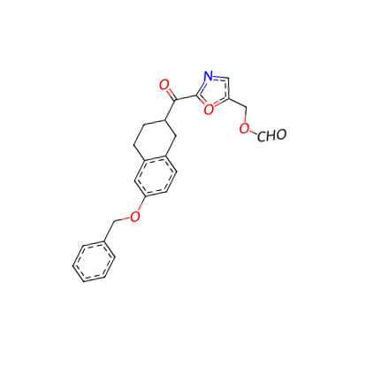 O=COCc1cnc(C(=O)C2CCc3cc(OCc4ccccc4)ccc3C2)o1